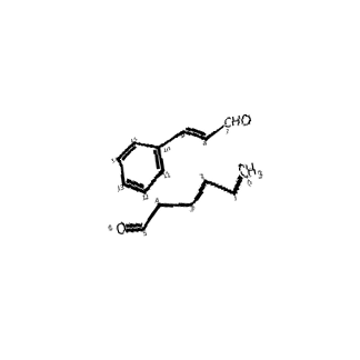 CCCCCC=O.O=CC=Cc1ccccc1